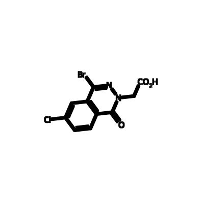 O=C(O)Cn1nc(Br)c2cc(Cl)ccc2c1=O